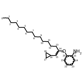 CCCCCCCCCCCCCCC(=CC1CC1)Oc1ccccc1N